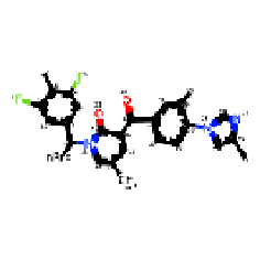 CCCC(c1cc(F)c(C)c(F)c1)n1cc(C(F)(F)F)cc(C(=O)c2ccc(-n3cnc(C)c3)c(C)c2)c1=O